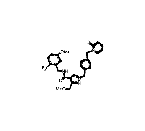 COCc1nn(Cc2ccc(Cn3ccccc3=O)cc2)cc1C(=O)NCc1cc(OC)ccc1C(F)(F)F